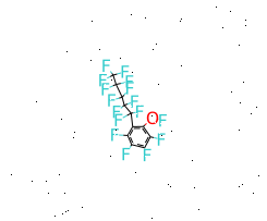 FOc1c(F)c(F)c(F)c(F)c1C(F)(F)C(F)(F)C(F)(F)C(F)(F)C(F)(F)F